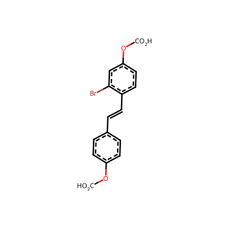 O=C(O)Oc1ccc(/C=C/c2ccc(OC(=O)O)cc2Br)cc1